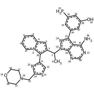 CC(c1cc2ccccn2c1-c1csc(CN2CCOCC2)n1)n1nc(-c2cc(O)cc(P)c2)c2c(N)ncnc21